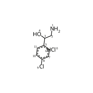 Cl.NCC(O)c1ccc(Cl)cc1